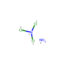 ClN(Cl)Cl.N